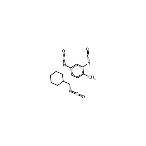 Cc1ccc(N=C=O)cc1N=C=O.O=C=NCC1CCCCC1